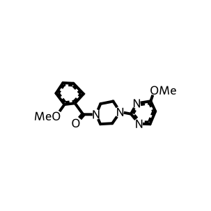 COc1ccnc(N2CCN(C(=O)c3ccccc3OC)CC2)n1